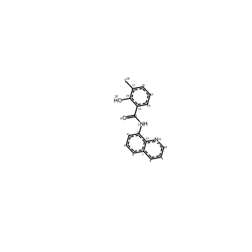 O=C(Nc1cccc2cccnc12)c1cccc(I)c1O